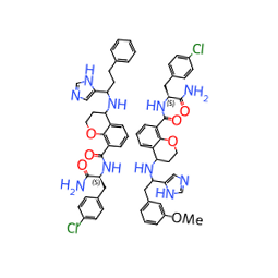 COc1cccc(CC(NC2CCOc3c(C(=O)N[C@@H](Cc4ccc(Cl)cc4)C(N)=O)cccc32)c2cnc[nH]2)c1.NC(=O)[C@H](Cc1ccc(Cl)cc1)NC(=O)c1cccc2c1OCCC2NC(CCc1ccccc1)c1cnc[nH]1